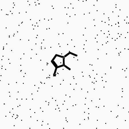 CCN1CC=C(Br)N1C